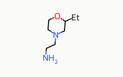 CCC1CN(CCN)CCO1